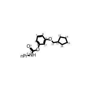 CCCNC(=O)Oc1cccc(OCC2CCCC2)c1